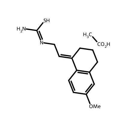 CC(=O)O.COc1ccc2c(c1)CCCC2=CCN=C(N)S